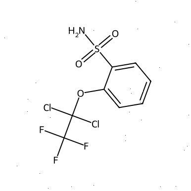 NS(=O)(=O)c1ccccc1OC(Cl)(Cl)C(F)(F)F